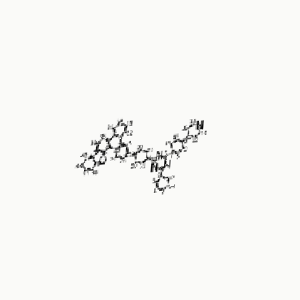 c1ccc(-c2nc(-c3ccc(-c4ccncc4)cc3)nc(-c3ccc(-c4ccc5c(c4)c4ccccc4c4ccc6c7ccccc7oc6c45)cc3)n2)cc1